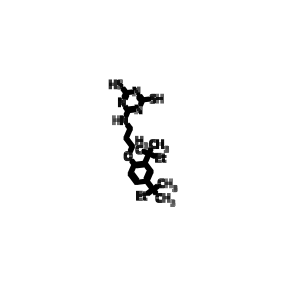 CCC(C)(C)c1ccc(OCCCNc2nc(S)nc(S)n2)c(C(C)(C)CC)c1